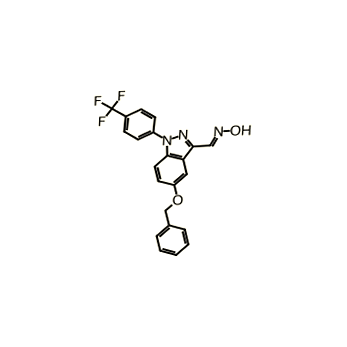 ON=Cc1nn(-c2ccc(C(F)(F)F)cc2)c2ccc(OCc3ccccc3)cc12